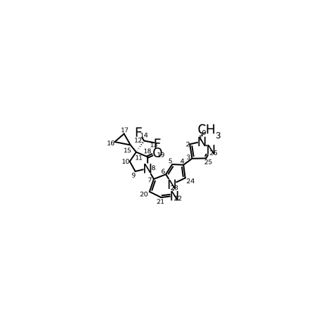 Cn1cc(-c2cc3c(N4CC[C@@](C(F)F)(C5CC5)C4=O)ccnn3c2)cn1